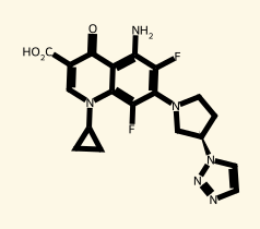 Nc1c(F)c(N2CC[C@@H](n3ccnn3)C2)c(F)c2c1c(=O)c(C(=O)O)cn2C1CC1